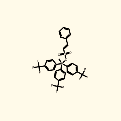 CP(OS(=O)(=O)C=Cc1ccccc1)(c1ccc(C(F)(F)F)cc1)(c1ccc(C(F)(F)F)cc1)c1ccc(C(F)(F)F)cc1